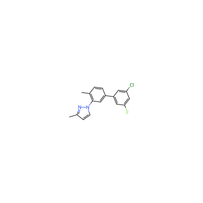 Cc1ccn(-c2cc(-c3cc(F)cc(Cl)c3)ccc2C)n1